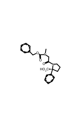 CN(CC(=O)N1CCC[C@]1(C(=O)O)c1ccccc1)C(=O)OCc1ccccc1